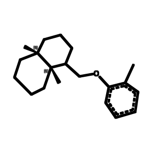 Cc1ccccc1OCC1CCC[C@@]2(C)CCCC[C@@]12C